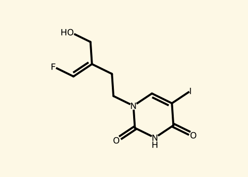 O=c1[nH]c(=O)n(CCC(=CF)CO)cc1I